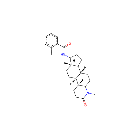 Cc1ccccc1C(=O)NC1CC[C@H]2[C@@H]3CCC4N(C)C(=O)CC[C@]4(C)[C@@H]3CC[C@]12C